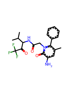 Cc1cc(N)c(=O)n(CC(=O)NC(C(=O)C(F)(F)F)C(C)C)c1-c1ccccc1